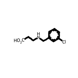 O=C(O)CCNCc1cccc(Cl)c1